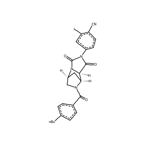 CCCCc1ccc(C(=O)N2C[C@@H]3C[C@H]2[C@@H]2C(=O)N(c4ccc(C#N)c(I)c4)C(=O)N32)cc1